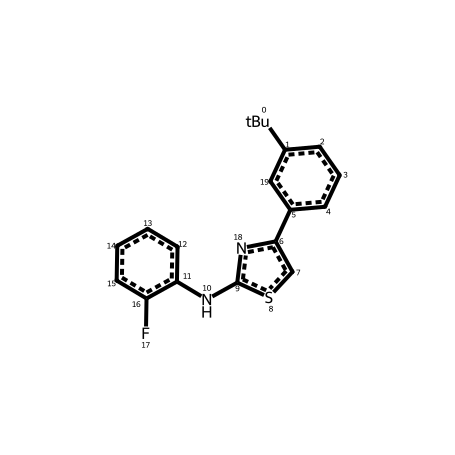 CC(C)(C)c1cccc(-c2csc(Nc3ccccc3F)n2)c1